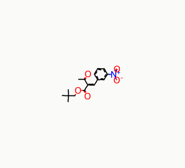 CC(=O)/C(=C\c1cccc([N+](=O)[O-])c1)C(=O)OCC(C)(C)C